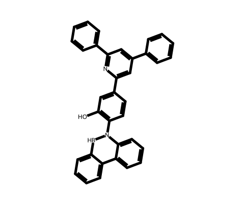 Oc1cc(-c2cc(-c3ccccc3)cc(-c3ccccc3)n2)ccc1N1Bc2ccccc2-c2ccccc21